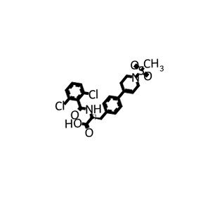 CS(=O)(=O)N1CC=C(c2ccc(C[C@H](NC(=O)c3c(Cl)cccc3Cl)C(=O)O)cc2)CC1